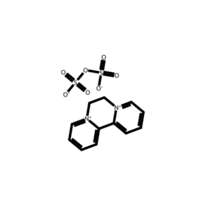 O=S(=O)([O-])OS(=O)(=O)[O-].c1cc[n+]2c(c1)-c1cccc[n+]1CC2